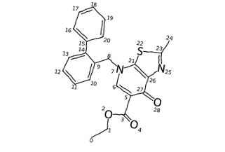 CCOC(=O)c1cn(Cc2ccccc2-c2ccccc2)c2sc(C)nc2c1=O